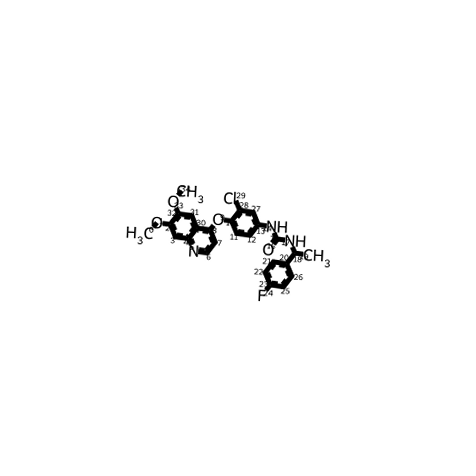 COc1cc2nccc(Oc3ccc(NC(=O)NC(C)c4ccc(F)cc4)cc3Cl)c2cc1OC